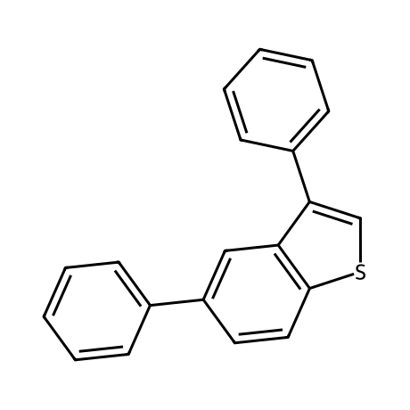 c1ccc(-c2ccc3scc(-c4ccccc4)c3c2)cc1